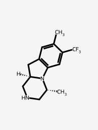 Cc1cc2c(cc1C(F)(F)F)N1[C@@H](CNC[C@H]1C)C2